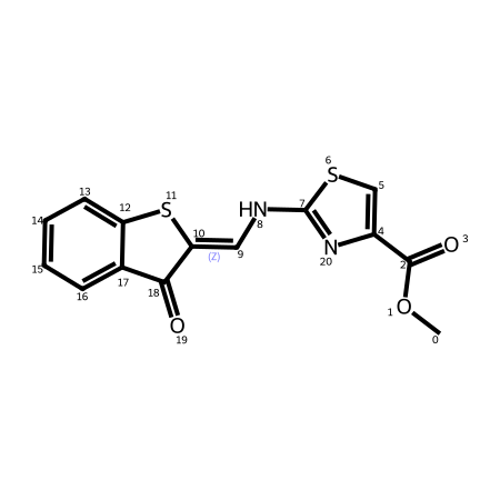 COC(=O)c1csc(N/C=C2\Sc3ccccc3C2=O)n1